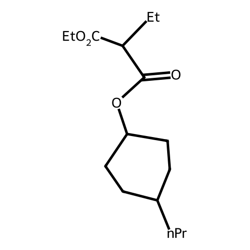 CCCC1CCC(OC(=O)C(CC)C(=O)OCC)CC1